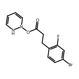 O=C(CCc1ccc(Br)cc1F)ON1C=CC=CN1